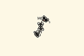 CC(/C=C/C=C/C=C1C(=O)OC2(CCC3(CC2)OC(=O)C(=C/C=C/C=C/C2=C(O)N(c4ccccc4)S(=O)(=O)N(c4ccccc4)C2=O)C(=O)O3)OC1=O)=C(/O)N(c1ccccc1)S(=O)(=O)N(C=O)c1ccccc1